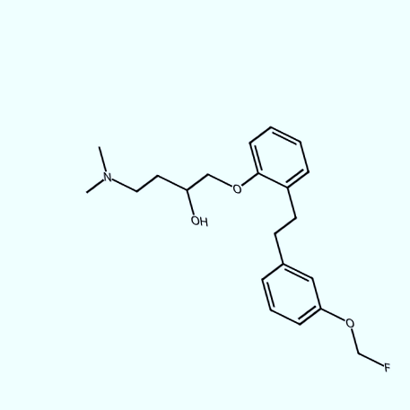 CN(C)CCC(O)COc1ccccc1CCc1cccc(OCF)c1